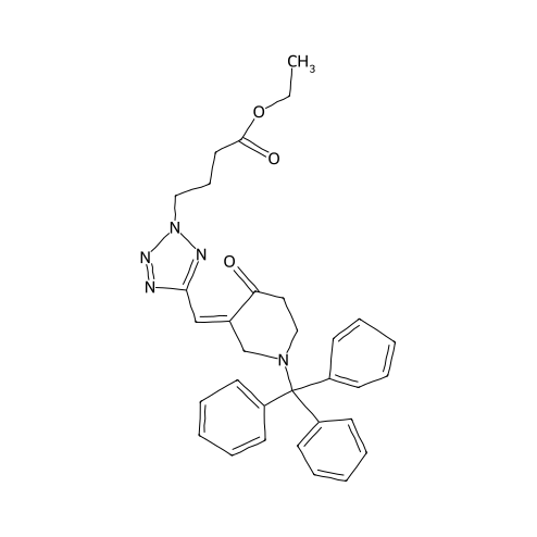 CCOC(=O)CCCn1nnc(C=C2CN(C(c3ccccc3)(c3ccccc3)c3ccccc3)CCC2=O)n1